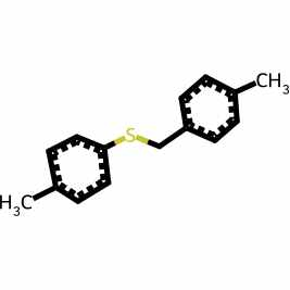 Cc1ccc(CSc2ccc(C)cc2)cc1